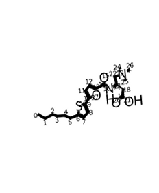 CCCCCCc1ccc(-c2ccc(C(=O)N[C@H](CC(=O)O)C[N+](C)(C)C)o2)s1